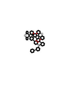 c1ccc(-c2cccc(N(c3ccc(-c4ccc5c(c4)-c4ccccc4C54c5ccccc5Oc5ccccc54)cc3)c3ccccc3-c3ccc4c(c3)C3(c5ccccc5Oc5ccccc53)c3ccccc3-4)c2)cc1